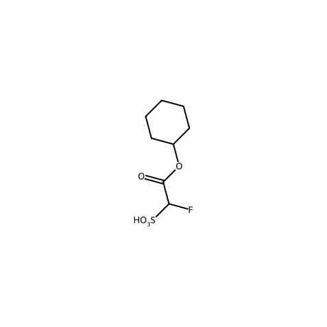 O=C(OC1CCCCC1)C(F)S(=O)(=O)O